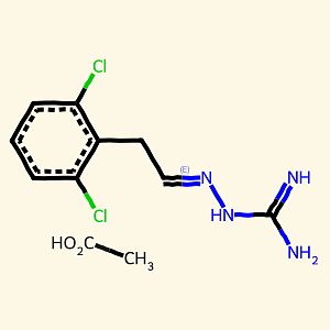 CC(=O)O.N=C(N)N/N=C/Cc1c(Cl)cccc1Cl